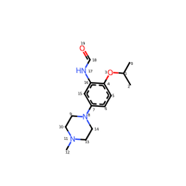 CC(C)Oc1ccc(N2CCN(C)CC2)cc1NC=O